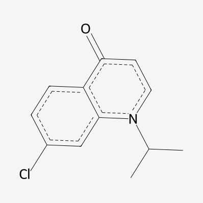 CC(C)n1ccc(=O)c2ccc(Cl)cc21